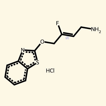 Cl.NC/C=C(\F)COc1nc2ccccc2s1